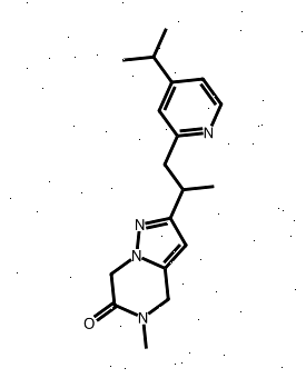 CC(C)c1ccnc(CC(C)c2cc3n(n2)CC(=O)N(C)C3)c1